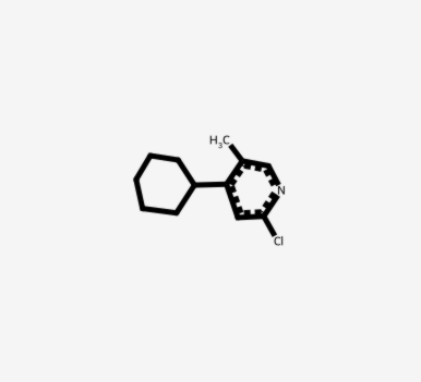 Cc1cnc(Cl)cc1C1CCCCC1